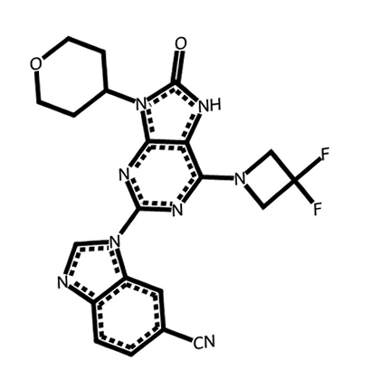 N#Cc1ccc2ncn(-c3nc(N4CC(F)(F)C4)c4[nH]c(=O)n(C5CCOCC5)c4n3)c2c1